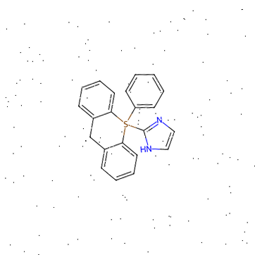 c1ccc(S2(c3ncc[nH]3)c3ccccc3Cc3ccccc32)cc1